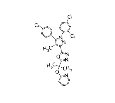 Cc1c(-c2nnc(C(C)(C)Oc3ccccn3)o2)nn(-c2ccc(Cl)cc2Cl)c1-c1ccc(Cl)cc1